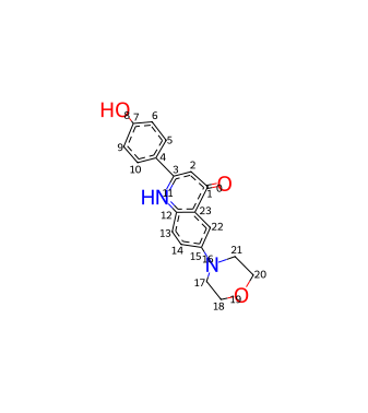 O=c1cc(-c2ccc(O)cc2)[nH]c2ccc(N3CCOCC3)cc12